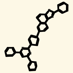 c1ccc(-c2cc(-c3ccccc3)nc(-c3ccc(-c4ccc5c(ccc6oc(-c7ccccc7)nc65)c4)cc3)n2)cc1